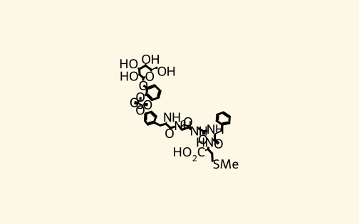 CSCC[C@H](NC(=O)[C@H](Cc1ccccc1)NC(=O)CNC(=O)CNC(=O)[C@@H](N)Cc1ccc(OS(=O)(=O)Oc2ccccc2OC2O[C@H](CO)[C@H](O)[C@H](O)[C@H]2O)cc1)C(=O)O